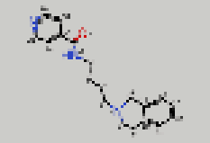 O=C(NCCCCN1CCc2ccccc2C1)c1ccncc1